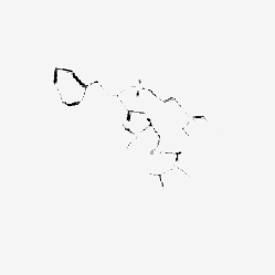 CCN(CC)CCCS(=O)(=O)N[C@H](CCc1ccccc1)c1nc(CNC(=O)N(C)C(C)C)n(C)n1